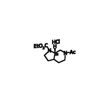 CCOC(=O)N1CCC2CCN(C(C)=O)C[C@H]21.Cl